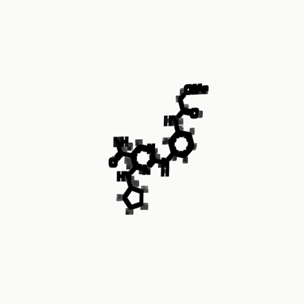 COCC(=O)Nc1cccc(Nc2ncc(C(N)=O)c(NC3CCCC3)n2)c1